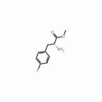 COC(=O)[C@H](N)Cc1ccc(F)cc1